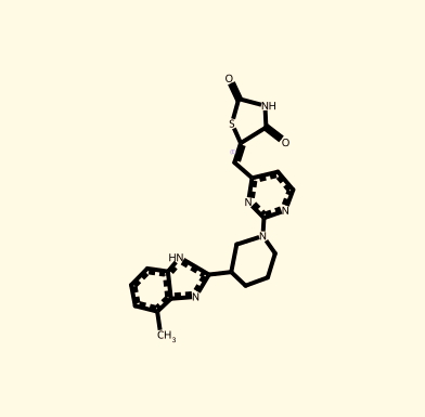 Cc1cccc2[nH]c(C3CCCN(c4nccc(/C=C5/SC(=O)NC5=O)n4)C3)nc12